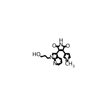 Cn1ccc(C2=C(c3cn(CCCO)c4ncccc34)C(=O)NC2=O)c1